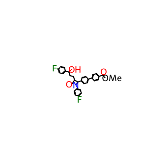 COC(=O)c1ccc(-c2ccc(C3C(CC[C@H](O)c4ccc(F)cc4)C(=O)N3c3ccc(F)cc3)cc2)cc1